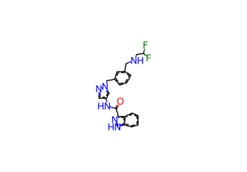 O=C(Nc1cnn(Cc2cccc(CNCC(F)F)c2)c1)c1n[nH]c2ccccc12